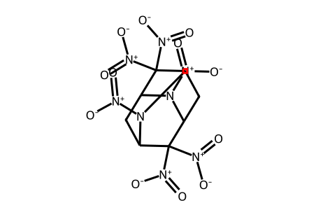 O=[N+]([O-])N1C2CC3N([N+](=O)[O-])C(CC1C3([N+](=O)[O-])[N+](=O)[O-])C2([N+](=O)[O-])[N+](=O)[O-]